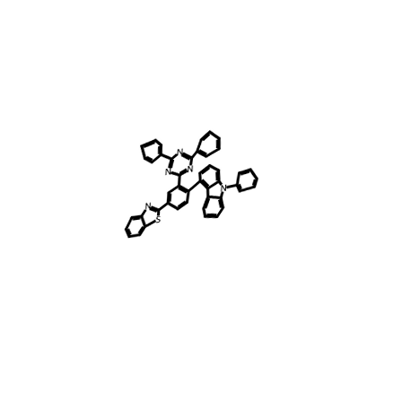 c1ccc(-c2nc(-c3ccccc3)nc(-c3cc(-c4nc5ccccc5s4)ccc3-c3cccc4c3c3ccccc3n4-c3ccccc3)n2)cc1